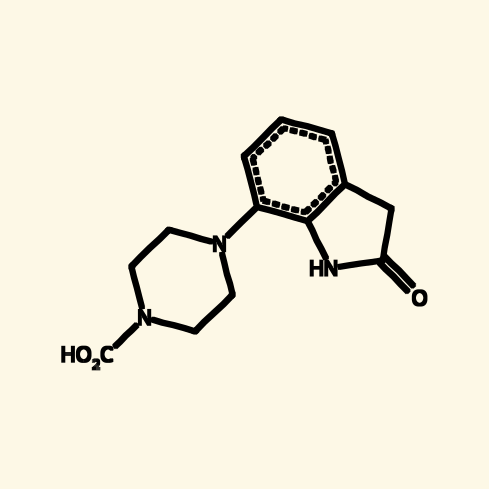 O=C1Cc2cccc(N3CCN(C(=O)O)CC3)c2N1